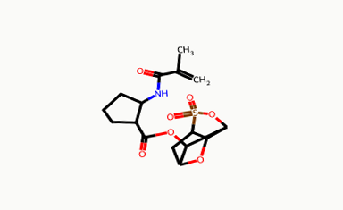 C=C(C)C(=O)NC1CCCC1C(=O)OC1C2CC3C(O2)C1OS3(=O)=O